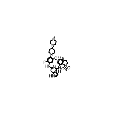 COc1cc(Nc2nc(Nc3cccc4c3N(S(C)(=O)=O)CC4)c3cc[nH]c3n2)c(F)cc1N1CCC(N2CCN(C)CC2)CC1